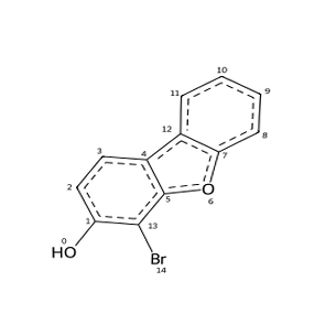 Oc1ccc2c(oc3ccccc32)c1Br